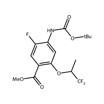 COC(=O)c1cc(F)c(NC(=O)OC(C)(C)C)cc1OC(C)C(F)(F)F